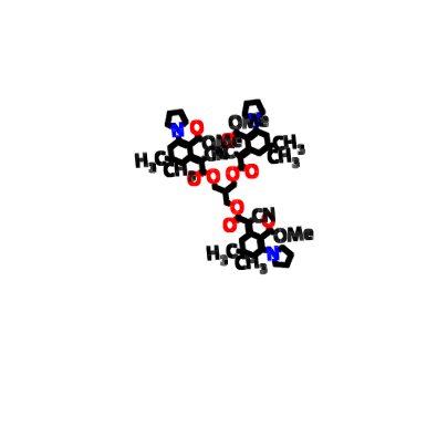 COC(=O)C1=C(N2CCCC2)CC(C)(C)C/C1=C(/C#N)C(=O)OCC(COC(=O)/C(C#N)=C1\CC(C)(C)CC(N2CCCC2)=C1C(=O)OC)COC(=O)/C(C#N)=C1\CC(C)(C)CC(N2CCCC2)=C1C(=O)OC